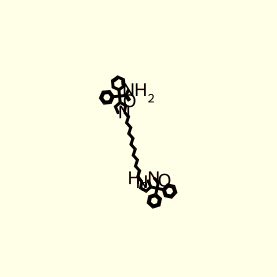 NC(=O)C(c1ccccc1)(c1ccccc1)C1CCN(CCCCCCCCCCCCN2CCC(C(C(N)=O)(c3ccccc3)C3C=CC=CC3)C2)C1